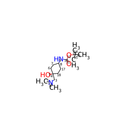 CN(C)C[C@]1(O)CC[C@@H](NC(=O)OC(C)(C)C)CC1